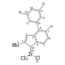 CCC(C)C1=Cc2c(ccc(C)c2-c2cc(C)cc(C)c2)[CH]1[Zr]([Cl])[Cl]